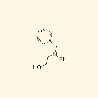 CCN(CCO)Cc1[c]cccc1